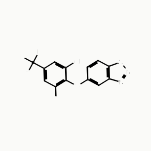 Fc1cc(C(F)(F)F)cc(Cl)c1Oc1ccc2[nH]nnc2c1